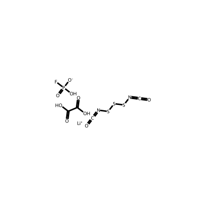 O=C(O)C(=O)O.O=C=NSSSN=C=O.O=P([O-])(O)F.[Li+]